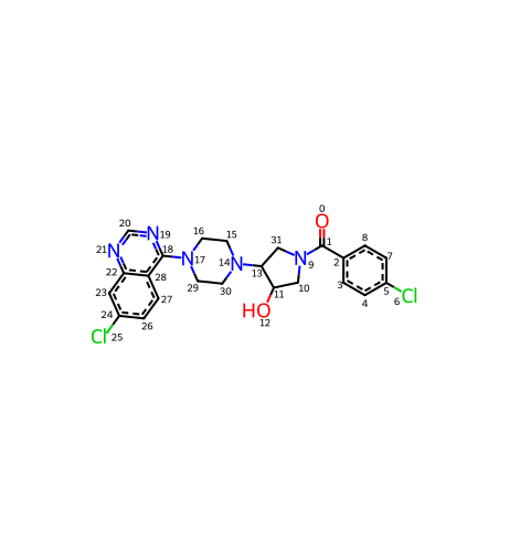 O=C(c1ccc(Cl)cc1)N1CC(O)C(N2CCN(c3ncnc4cc(Cl)ccc34)CC2)C1